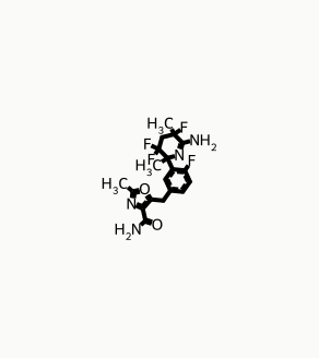 Cc1nc(C(N)=O)c(Cc2ccc(F)c(C3(C)N=C(N)C(C)(F)CC3(F)F)c2)o1